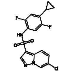 O=S(=O)(Nc1cc(F)c(C2CC2)cc1F)c1cnn2cc(Cl)ccc12